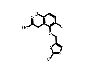 O=C(O)Cc1c(Cl)ccc(Cl)c1OCc1cnc(Cl)s1